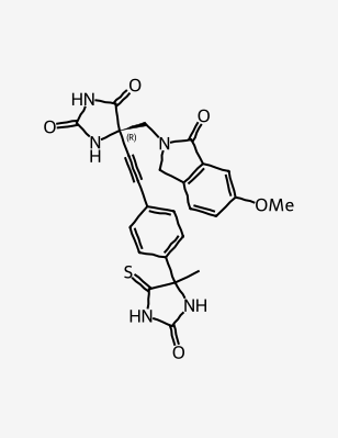 COc1ccc2c(c1)C(=O)N(C[C@@]1(C#Cc3ccc(C4(C)NC(=O)NC4=S)cc3)NC(=O)NC1=O)C2